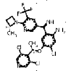 C[C@@H]1CCN1c1ncc(C(=N)c2cc(O[C@H](C)c3c(Cl)cncc3Cl)c(Cl)cc2N)cc1C(F)(F)F